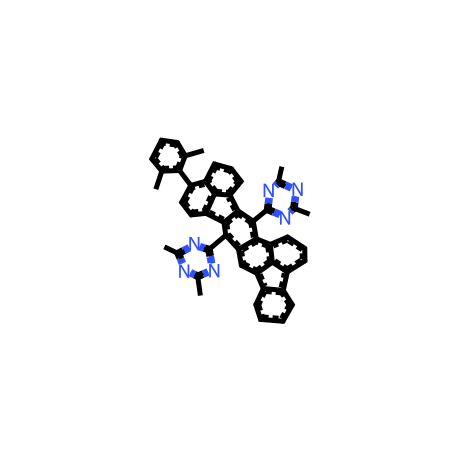 Cc1nc(C)nc(-c2c3cc4c5ccccc5c5cccc(c3c(-c3nc(C)nc(C)n3)c3c6cccc7c(-c8c(C)cccc8C)ccc(c23)c76)c54)n1